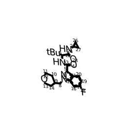 CC(C)(C)C(NC(=O)c1nn(CC2CCOCC2)c2cc(F)ccc12)C(=O)NC1CC1